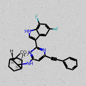 O=C(O)[C@H]1C2CCC(CC2)[C@@H]1Nc1cc(C#Cc2ccccc2)nc(-c2c[nH]c3c(F)cc(F)cc23)n1